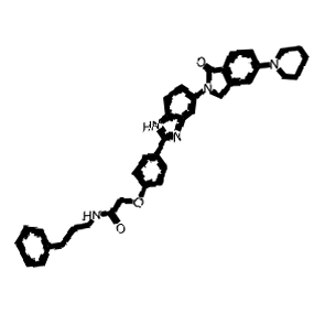 O=C(COc1ccc(-c2nc3cc(N4Cc5cc(N6CCCCC6)ccc5C4=O)ccc3[nH]2)cc1)NCCCc1ccccc1